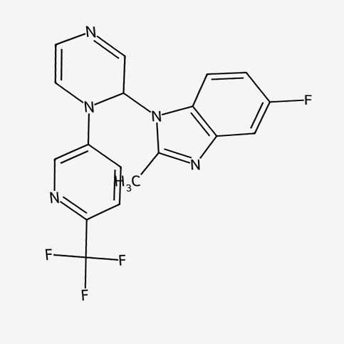 Cc1nc2cc(F)ccc2n1C1C=NC=CN1c1ccc(C(F)(F)F)nc1